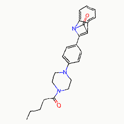 CCCCC(=O)N1CCN(c2ccc(-c3c4c5ccccc5n3C4=O)cc2)CC1